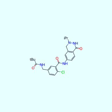 CC(C)N1Cc2cc(NC(=O)c3cc(CNC(=O)C(C)(C)C)ccc3Cl)ccc2C(=O)N1